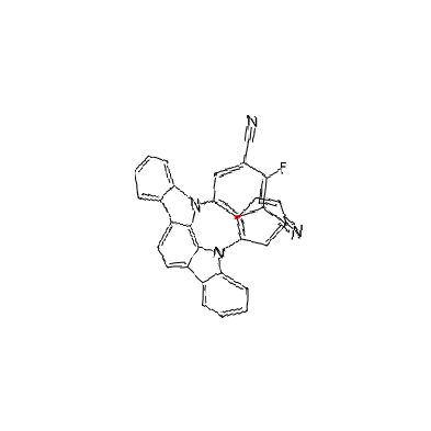 N#Cc1cc(-n2c3ccccc3c3ccc4c5ccccc5n(-c5ccccc5)c4c32)cc(C#N)c1F